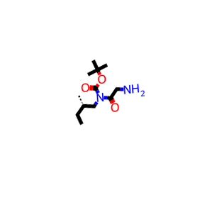 CC[C@H](C)CN(C(=O)CN)C(=O)OC(C)(C)C